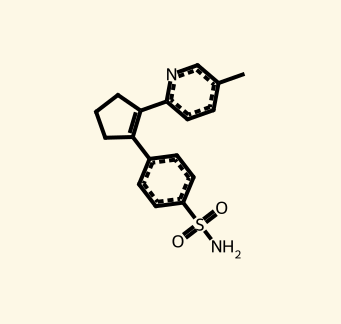 Cc1ccc(C2=C(c3ccc(S(N)(=O)=O)cc3)CCC2)nc1